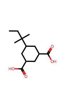 CCC(C)(C)C1CC(C(=O)O)CC(C(=O)O)C1